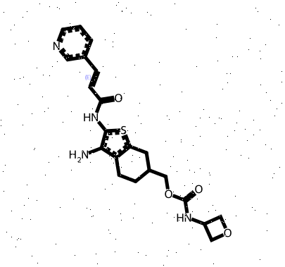 Nc1c(NC(=O)/C=C/c2cccnc2)sc2c1CCC(COC(=O)NC1COC1)C2